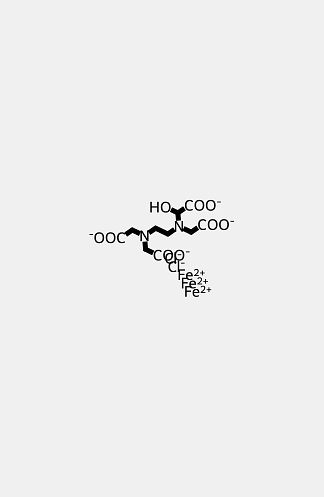 O=C([O-])CN(CCN(CC(=O)[O-])C(O)C(=O)[O-])CC(=O)[O-].[Cl-].[Cl-].[Fe+2].[Fe+2].[Fe+2]